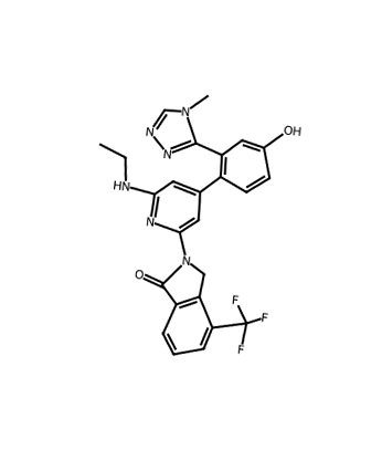 CCNc1cc(-c2ccc(O)cc2-c2nncn2C)cc(N2Cc3c(cccc3C(F)(F)F)C2=O)n1